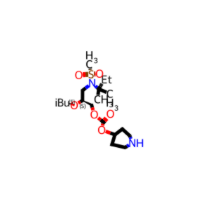 CC[C@H](C)O[C@H](COC(=O)OC1CCNCC1)CN(C(C)(C)CC)S(C)(=O)=O